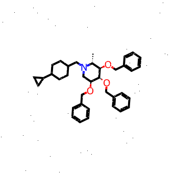 C[C@@H]1[C@@H](OCc2ccccc2)[C@H](OCc2ccccc2)[C@@H](OCc2ccccc2)CN1CC1CCC(C2CC2)CC1